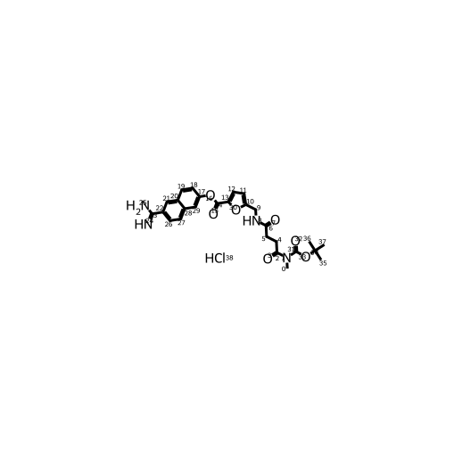 CN(C(=O)CCC(=O)NCc1ccc(C(=O)Oc2ccc3cc(C(=N)N)ccc3c2)o1)C(=O)OC(C)(C)C.Cl